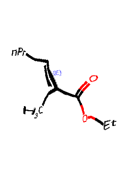 CCC/C=C(\C)C(=O)OCC